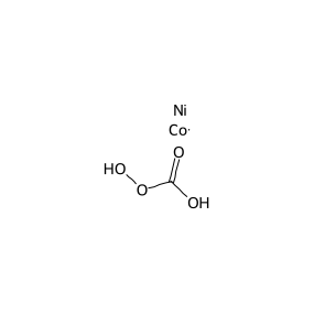 O=C(O)OO.[Co].[Ni]